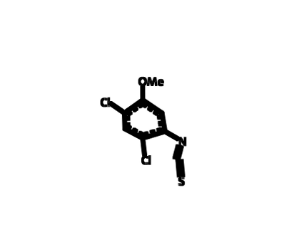 COc1cc(N=C=S)c(Cl)cc1Cl